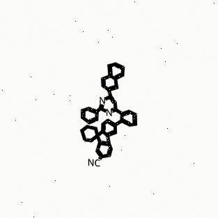 N#Cc1ccc2c(c1)C1(CCCCC1)c1ccc(-c3ccccc3-c3cc(-c4ccc5ccccc5c4)nc(-c4ccccc4)n3)cc1-2